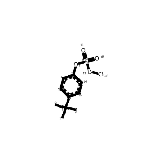 CC(C)(C)c1ccc(OS(=O)(=O)OCl)cc1